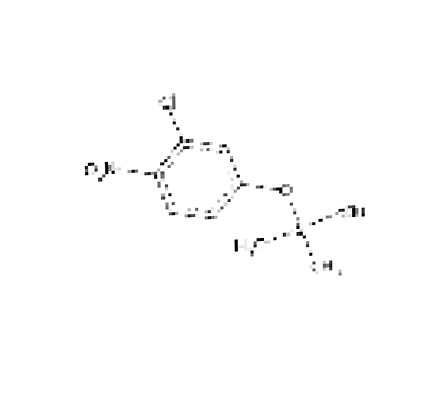 CC(C)(C)[Si](C)(C)Oc1ccc([N+](=O)[O-])c(Cl)c1